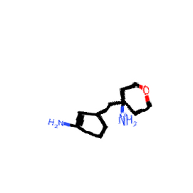 NC1=CC(CC2(N)CCOCC2)CCC1